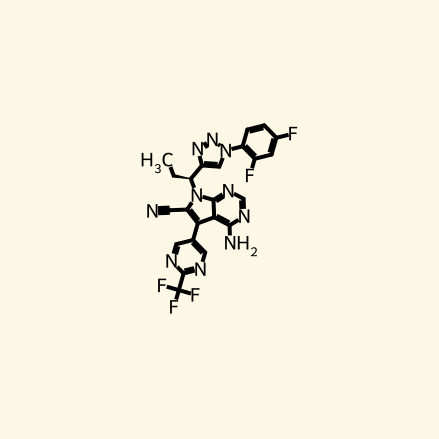 CC[C@@H](c1cn(-c2ccc(F)cc2F)nn1)n1c(C#N)c(-c2cnc(C(F)(F)F)nc2)c2c(N)ncnc21